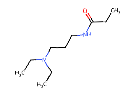 CCC(=O)NCCCN(CC)CC